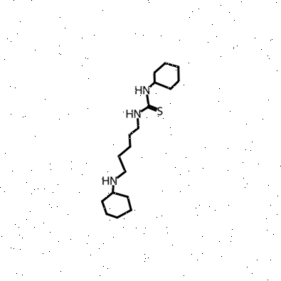 S=C(NCCCCCNC1CCCCC1)NC1CCCCC1